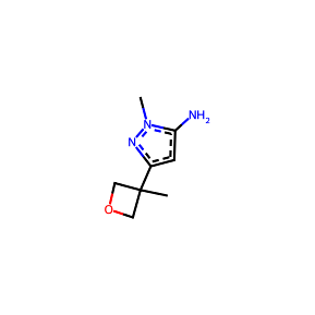 Cn1nc(C2(C)COC2)cc1N